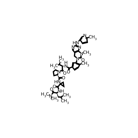 Cc1ccc(Nc2ncc3c(n2)N(C)C(=O)N(c2cc(C(=O)N[C@H](C(=O)N4CCC[C@@H]4C(=O)NC4(C(=O)N[C@@H](CC(C)C)C(=O)N(C)C)CC4)C(C)C)ccc2C)C3)cn1